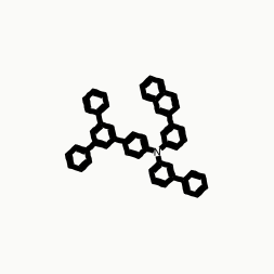 c1ccc(-c2cc(-c3ccccc3)cc(-c3ccc(N(c4cccc(-c5ccccc5)c4)c4cccc(-c5ccc6ccccc6c5)c4)cc3)c2)cc1